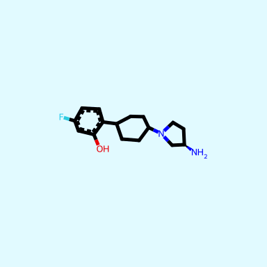 N[C@@H]1CCN(C2CCC(c3ccc(F)cc3O)CC2)C1